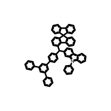 c1ccc(-c2cc(-c3ccccc3)cc(-c3ccc(C(c4ccc5c6ccccc6n(-c6ccccc6)c5c4)c4cccc5c4-c4ccccc4C54c5ccccc5-c5ccccc54)cc3)c2)cc1